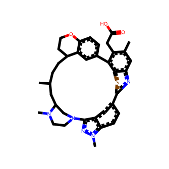 Cc1cc2nc3sc2c(c1CC(=O)O)-c1ccc2c(c1)C(CCO2)CCC(C)CC1CN(CCN1C)c1nn(C)c2ccc-3cc12